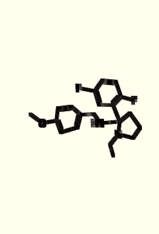 CCN1CCCC1(NCc1ccc(OC)cc1)c1cc(F)ccc1F